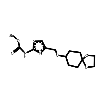 CC(C)(C)OC(=O)Nc1nc(COC2CCC3(CC2)OCCO3)cs1